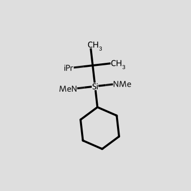 CN[Si](NC)(C1CCCCC1)C(C)(C)C(C)C